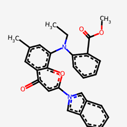 CCN(c1ccccc1C(=O)OC)c1cc(C)cc2c(=O)cc(-n3cc4ccccc4c3)oc12